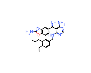 CCCc1cc(CNc2ncnc(N)c2C(=N)c2ccc3oc(N)nc3c2)ccc1CC